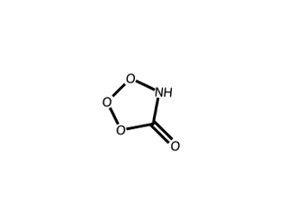 O=C1NOOO1